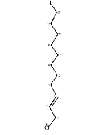 ClCC=CCCCCCCCCI